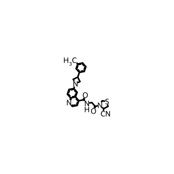 Cc1cccc(C2CN(c3ccc4nccc(C(=O)NCC(=O)N5CSCC5C#N)c4c3)C2)c1